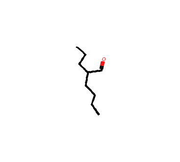 CCCCC(C=O)CCC